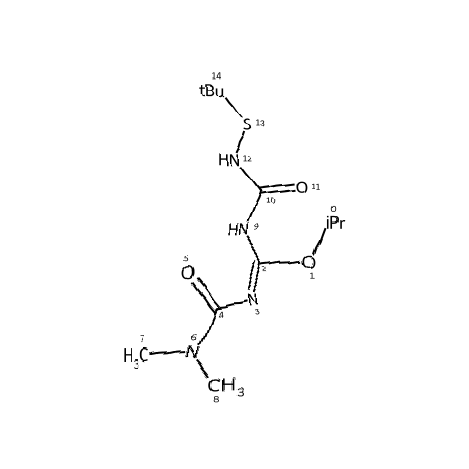 CC(C)OC(=NC(=O)N(C)C)NC(=O)NSC(C)(C)C